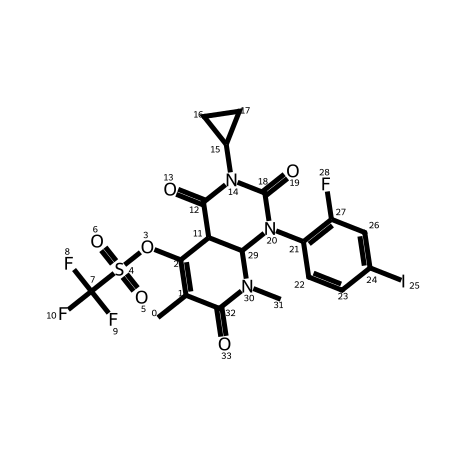 CC1=C(OS(=O)(=O)C(F)(F)F)C2C(=O)N(C3CC3)C(=O)N(c3ccc(I)cc3F)C2N(C)C1=O